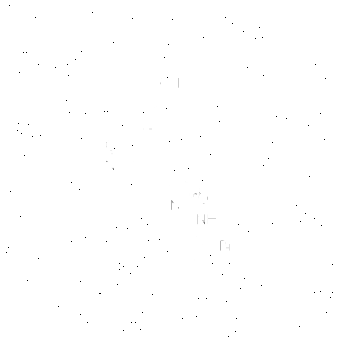 Cc1ccc(-c2onc3ccc(C4C5SC(Nc6ccccc6Br)N4C5=O)cc23)cc1